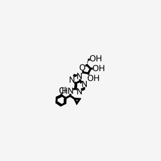 OC[C@H]1O[C@@H](n2cnc3c(NC(c4ccccc4Cl)C4CC4)ncnc32)C(O)C1O